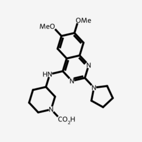 COc1cc2nc(N3CCCC3)nc(NC3CCCN(C(=O)O)C3)c2cc1OC